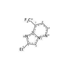 CCc1cn2nccc(C(F)(F)F)c2n1